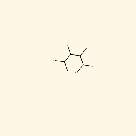 [CH2]C(C)C(C)C(C)C([CH2])C